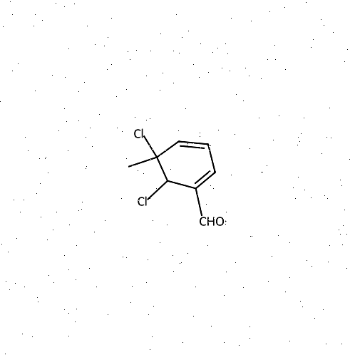 CC1(Cl)C=CC=C([C]=O)C1Cl